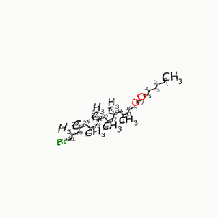 CCCCCCOCOCCCC(C)CC(C)CC(C)CC(C)CC(C)CC(C)CCCBr